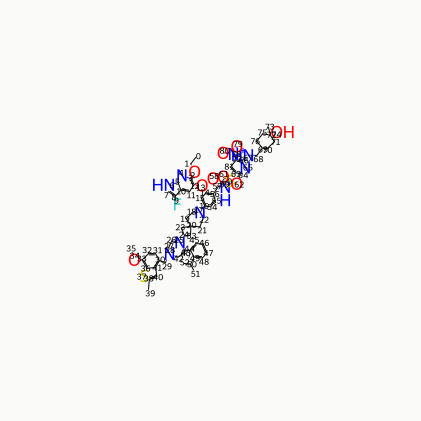 CCOc1nc2[nH]cc(F)c2cc1Oc1cc(N2CCC3(CC2)CC(N2CCN(Cc4ccc(OC)c5sc(C)cc45)C[C@H]2c2ccccc2C(C)C)C3)ccc1C(=O)NS(=O)(=O)c1cnc(NCC2CCC(C)(O)CC2)c([N+](=O)[O-])c1